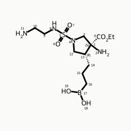 CCOC(=O)[C@@]1(N)CN(S(=O)(=O)NCCN)C[C@H]1CCCB(O)O